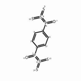 O=P(c1ccc(P(=O)=S(=S)=S)cc1)=S(=S)=S